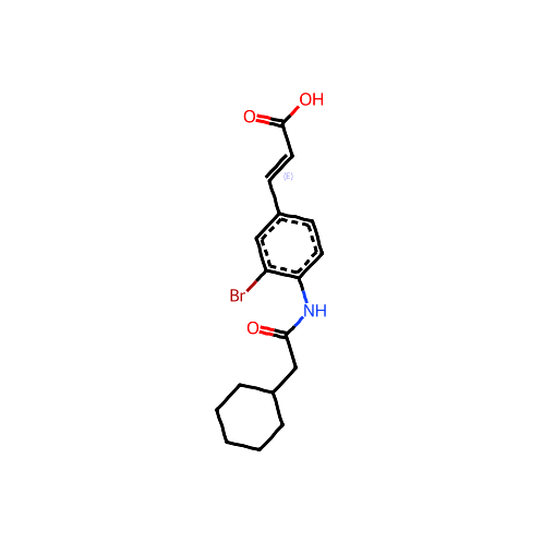 O=C(O)/C=C/c1ccc(NC(=O)CC2CCCCC2)c(Br)c1